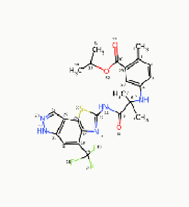 Cc1ccc(NC(C)(C)C(=O)Nc2nc3c(C(F)(F)F)cc4[nH]ncc4c3s2)cc1C(=O)OC(C)C